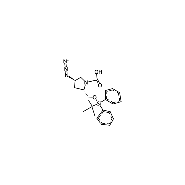 CC(C)(C)[Si](OC[C@@H]1C[C@@H](N=[N+]=[N-])CN1C(=O)O)(c1ccccc1)c1ccccc1